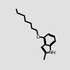 CCCCCCCOc1cccc2[nH]c(C)cc12